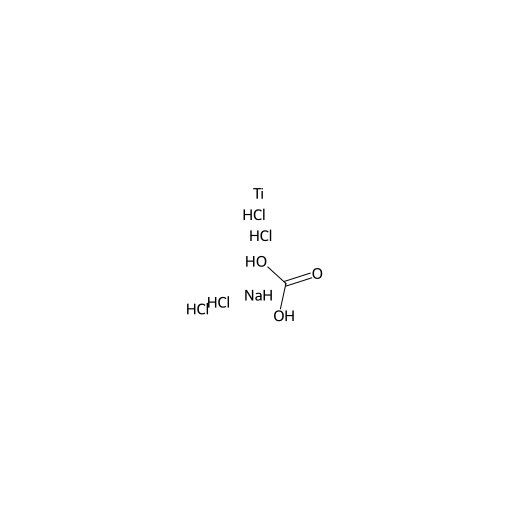 Cl.Cl.Cl.Cl.O=C(O)O.[NaH].[Ti]